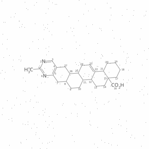 Cc1ncc2c(n1)CC1CCC3C4CCC5(C(=O)O)CCCCC5C4=CCC3C1C2